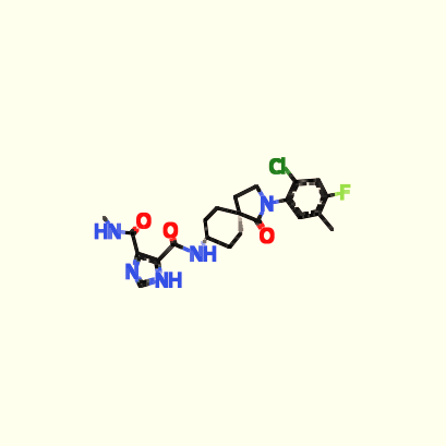 CNC(=O)c1nc[nH]c1C(=O)N[C@H]1CC[C@@]2(CCN(c3cc(C)c(F)cc3Cl)C2=O)CC1